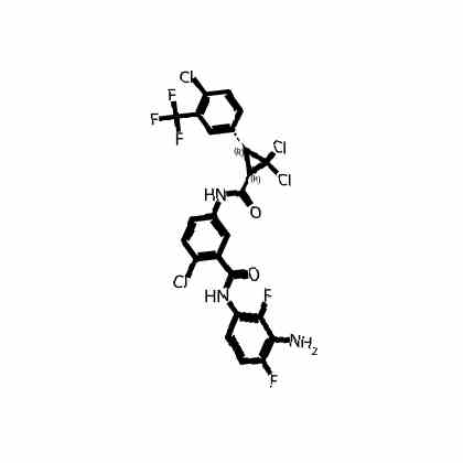 Nc1c(F)ccc(NC(=O)c2cc(NC(=O)[C@H]3[C@H](c4ccc(Cl)c(C(F)(F)F)c4)C3(Cl)Cl)ccc2Cl)c1F